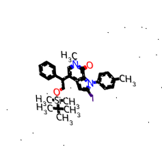 Cc1ccc(-n2c(I)cc3c(C(CO[Si](C)(C)C(C)(C)C)c4ccccc4)cn(C)c(=O)c32)cc1